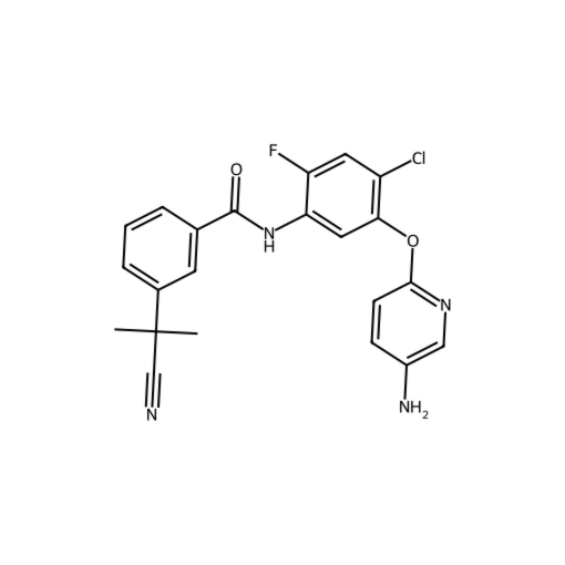 CC(C)(C#N)c1cccc(C(=O)Nc2cc(Oc3ccc(N)cn3)c(Cl)cc2F)c1